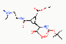 CCOC(=O)C1C(C(=O)NCCN(C)C)C1C(NC(=O)OC(C)(C)C)C(=O)O